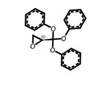 c1ccc(OC(Oc2ccccc2)(Oc2ccccc2)[C@@H]2CO2)cc1